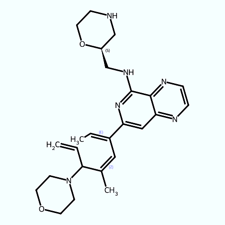 C=CC(/C(C)=C\C(=C/C)c1cc2nccnc2c(NC[C@@H]2CNCCO2)n1)N1CCOCC1